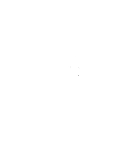 Cn1nc2n(c1=O)CCc1ccccc1C2